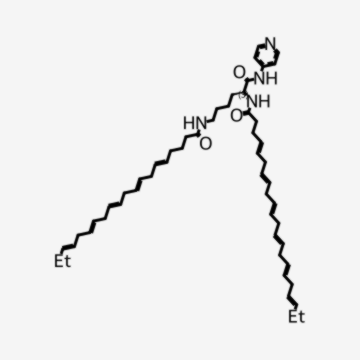 CCC=CCC=CCC=CCC=CCC=CCC=CCCC(=O)N[C@@H](CCCCNC(=O)CCCC=CCC=CCC=CCC=CCC=CCC)C(=O)Nc1ccncc1